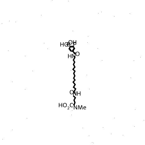 CN[C@@H](CCCCNC(=O)CCCCCCCCCCCCCCCNC(=O)c1ccc(B(O)O)c(F)c1)C(=O)O